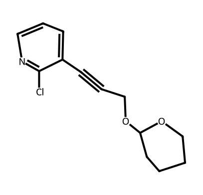 Clc1ncccc1C#CCOC1CCCCO1